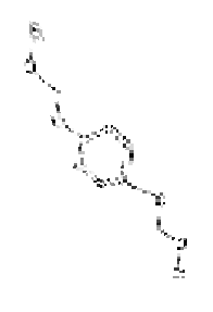 CCOCOc1ccc(OCOCC)cc1